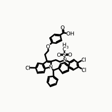 CS(=O)(=O)N(CCc1c(CCOc2ccc(C(=O)O)cc2)c2cc(Cl)ccc2n1C(c1ccccc1)c1ccccc1)c1ccc(Cl)c(Cl)c1